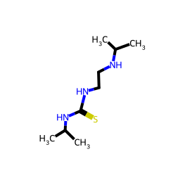 CC(C)NCCNC(=S)NC(C)C